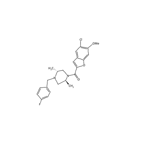 COc1cc2oc(C(=O)N3C[C@@H](C)N(Cc4ccc(F)cc4)C[C@@H]3C)cc2cc1Cl